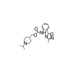 Cc1noc(-c2ccccc2NC(=O)OCC2CCN(C(C)C)CC2)n1